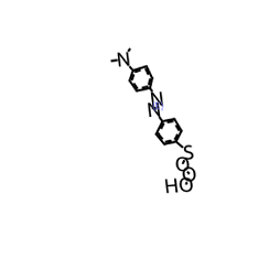 CN(C)c1ccc(/N=N/c2ccc(SOOO)cc2)cc1